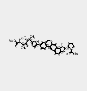 CCC(C)C(=O)N1CCC[C@H]1c1nc2ccc3cc4c(cc3c2[nH]1)OCc1cc(-c2cnc([C@H](C)N(C(=O)[C@H](C)NC(=O)OC)[C@@H](C)CC)[nH]2)ccc1-4